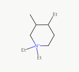 CCC1CC[N+](CC)(CC)CC1C